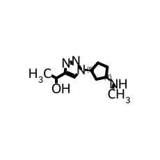 CN[C@@H]1CC[C@H](n2cc(C(C)O)nn2)C1